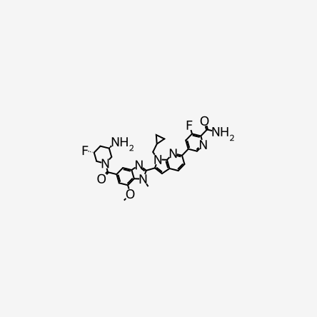 COc1cc(C(=O)N2C[C@H](N)C[C@@H](F)C2)cc2nc(-c3cc4ccc(-c5cnc(C(N)=O)c(F)c5)nc4n3CC3CC3)n(C)c12